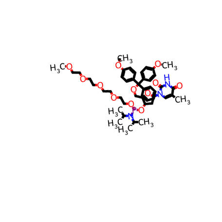 COCCOCCOCCOCCOP(OC1CC(n2cc(C)c(=O)[nH]c2=O)OC1COC(c1ccccc1)(c1ccc(OC)cc1)c1ccc(OC)cc1)N(C(C)C)C(C)C